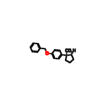 O=C(O)C1(c2ccc(OCc3ccccc3)cc2)CCCC1